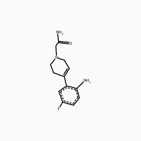 NC(=O)CN1CC=C(c2cc(F)ccc2N)CC1